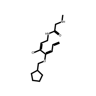 C=C/C=C(OCC1CCCC1)\C(Cl)=C/CNC(=O)CNC